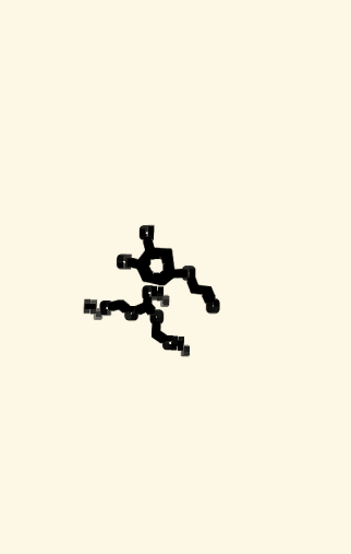 CCOC(C)OCC.O=CCOc1ccc(Cl)c(Cl)c1